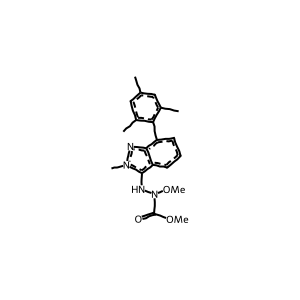 COC(=O)N(Nc1c2cccc(-c3c(C)cc(C)cc3C)c2nn1C)OC